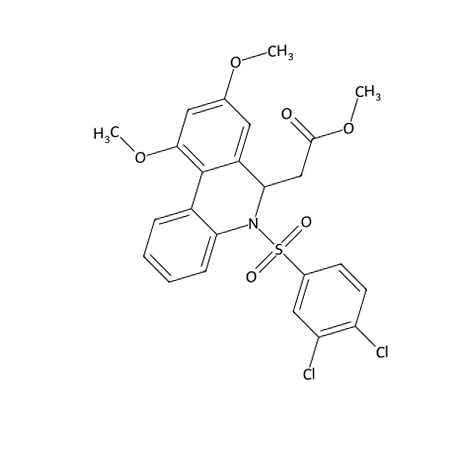 COC(=O)CC1c2cc(OC)cc(OC)c2-c2ccccc2N1S(=O)(=O)c1ccc(Cl)c(Cl)c1